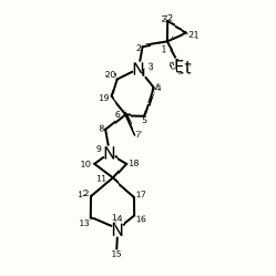 CCC1(CN2CCC(C)(CN3CC4(CCN(C)CC4)C3)CC2)CC1